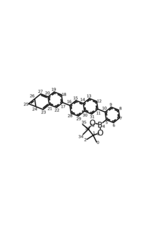 CC1(C)OB(c2ccccc2-c2ccc3cc(-c4ccc5c(c4)=CC4C=C4C=5)ccc3c2)OC1(C)C